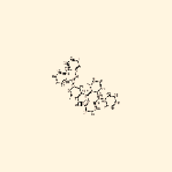 Clc1ccc(-c2cc3ccccc3c3ccccc23)cc1-c1c2ccccc2c(-c2ccccc2)c2ccccc12